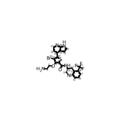 NCCOc1c(C(=O)N[C@H](CN)Cc2ccccc2C(F)(F)F)sc(-c2ccnc3[nH]ccc23)c1Br